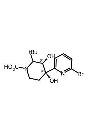 CC(C)(C)C1[C@@H](O)[C@](O)(c2cccc(Br)n2)CCN1C(=O)O